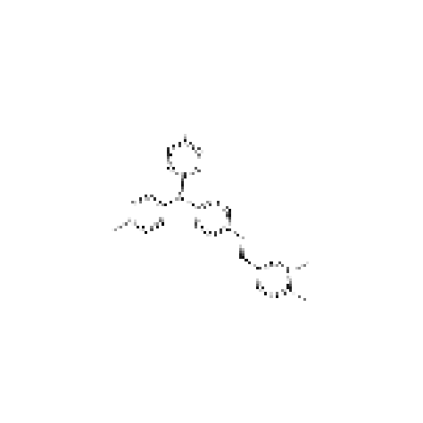 Cc1ccc(N(c2ccc(C)cc2)c2ccc(/C=C/c3ccc(C)c(C)c3)cc2)cc1